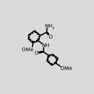 COc1ccc(C(=O)Nc2c(OC)cccc2C(N)=O)cc1